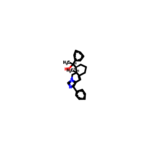 C[C@]12Cn3cnc(-c4ccccc4)c3C=C1CCC[C@@H]2[C@](C)(O)c1ccccc1